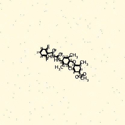 Cc1cc(S(C)(=O)=O)ccc1Oc1c(C)cc(NC(=O)NC(=O)c2c(F)cccc2F)c(C)c1Cl